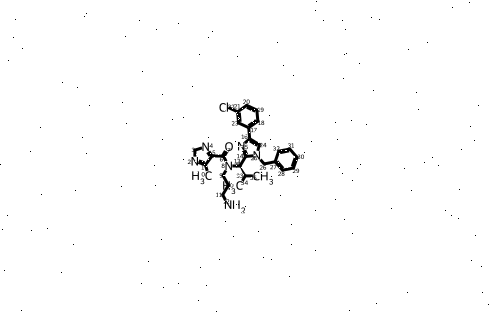 CC1=NCN=C1C(=O)N(CCCN)[C@@H](c1nc(-c2cccc(Cl)c2)cn1Cc1ccccc1)C(C)C